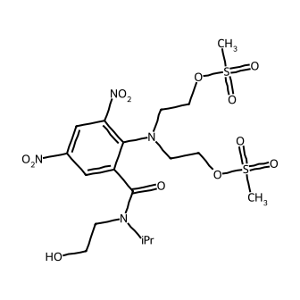 CC(C)N(CCO)C(=O)c1cc([N+](=O)[O-])cc([N+](=O)[O-])c1N(CCOS(C)(=O)=O)CCOS(C)(=O)=O